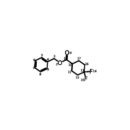 O=C(OCc1ccccc1)C1CCC(F)(F)CC1